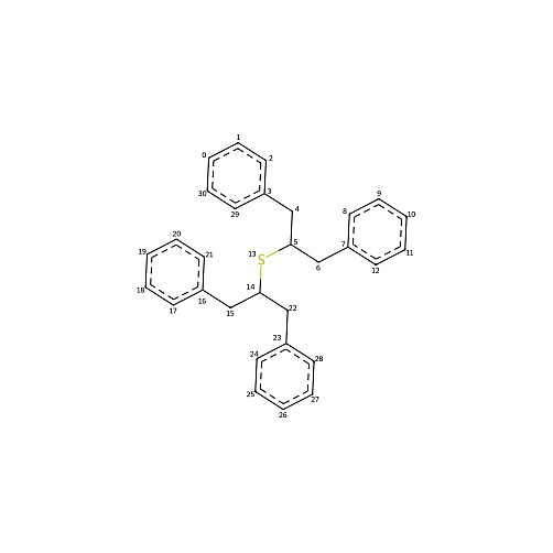 c1ccc(CC(Cc2ccccc2)SC(Cc2ccccc2)Cc2ccccc2)cc1